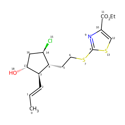 C/C=C/[C@@H]1[C@@H](CCSc2nc(C(=O)OCC)cs2)[C@H](Cl)C[C@H]1O